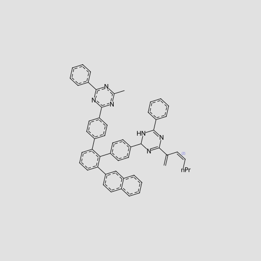 C=C(/C=C\CCC)C1=NC(c2ccc(-c3c(-c4ccc(-c5nc(C)nc(-c6ccccc6)n5)cc4)cccc3-c3ccc4ccccc4c3)cc2)NC(c2ccccc2)=N1